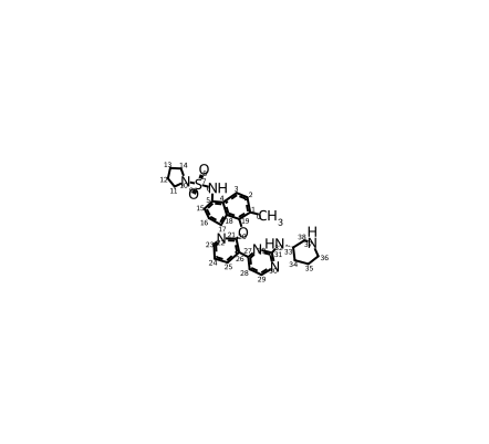 Cc1ccc2c(NS(=O)(=O)N3CCCC3)cccc2c1Oc1ncccc1-c1ccnc(N[C@H]2CCCNC2)n1